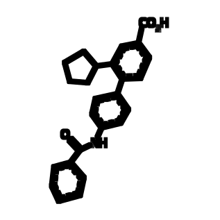 O=C(O)c1ccc(-c2ccc(NC(=O)c3ccccc3)cc2)c(C2CCCC2)c1